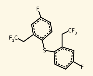 Fc1ccc(Sc2ccc(F)cc2CC(F)(F)F)c(CC(F)(F)F)c1